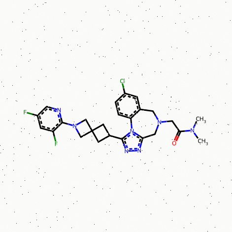 CN(C)C(=O)CN1Cc2cc(Cl)ccc2-n2c(nnc2C2CC3(C2)CN(c2ncc(F)cc2F)C3)C1